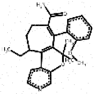 CCC1CCC(C(N)=O)=C(c2ccccc2OC)C2=C1c1ccncc1OC2(C)C